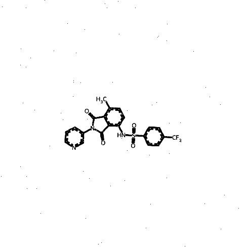 Cc1ccc(NS(=O)(=O)c2ccc(C(F)(F)F)cc2)c2c1C(=O)N(c1cccnc1)C2=O